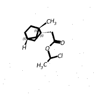 CC(Cl)OC(=O)C[C@@H]1C[C@@H]2CC[C@@]1(C)C2